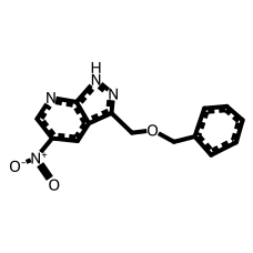 O=[N+]([O-])c1cnc2[nH]nc(COCc3ccccc3)c2c1